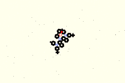 Cc1ccc(N(c2ccc(C(C)(C)C)cc2)c2cc3c(c4ccccc24)c2c4ccccc4c(N(c4ccc(C)cc4)c4ccc(C(C)(C)C)cc4)cc2n3-c2cccc3c2oc2ccccc23)cc1